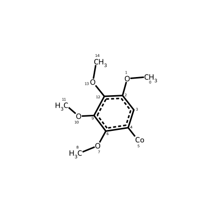 COc1c[c]([Co])c(OC)c(OC)c1OC